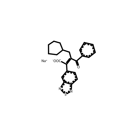 O=C([O-])/C(=C(\CC1CCCCC1)C(=O)c1ccccc1)c1ccc2nsnc2c1.[Na+]